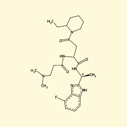 CCC1CCCCN1C(=O)CC(NC(=O)CCN(C)C)C(=O)N[C@@H](C)c1nc2c(F)cccc2[nH]1